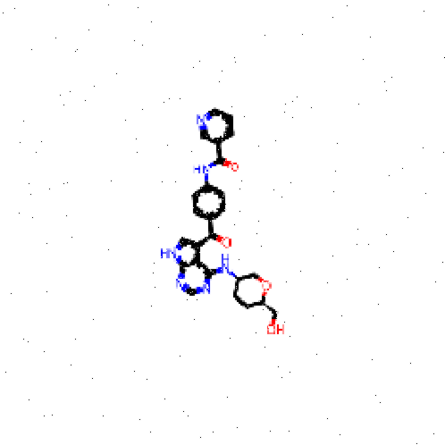 O=C(Nc1ccc(C(=O)c2c[nH]c3ncnc(N[C@@H]4CC[C@H](CO)OC4)c23)cc1)c1cccnc1